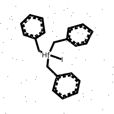 [I][Hf]([CH2]c1ccccc1)([CH2]c1ccccc1)[CH2]c1ccccc1